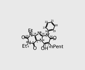 CCCCCc1c(O)n2c3c(=O)n(CC)c(=O)n(CC)c3nc2n(-c2ccccc2)c1=O